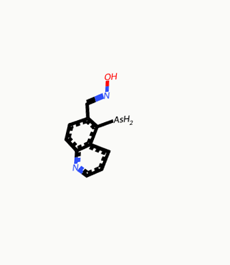 ON=Cc1ccc2ncccc2c1[AsH2]